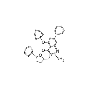 Nc1nc2cc(-c3ccccc3)cc(Oc3ccccc3)c2c(=O)n1CC1CCC(c2ccccc2)O1